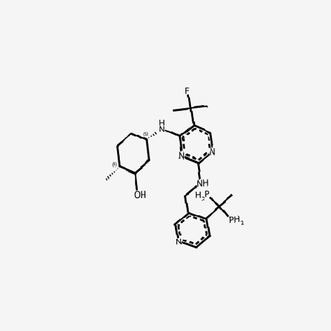 C[C@@H]1CC[C@H](Nc2nc(NCc3cnccc3C(C)(P)P)ncc2C(C)(C)F)CC1O